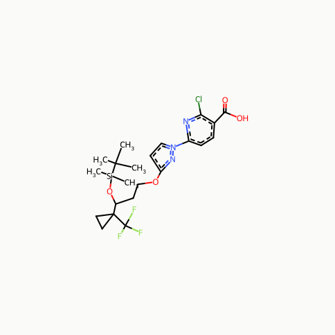 CC(C)(C)[Si](C)(C)OC(CCOc1ccn(-c2ccc(C(=O)O)c(Cl)n2)n1)C1(C(F)(F)F)CC1